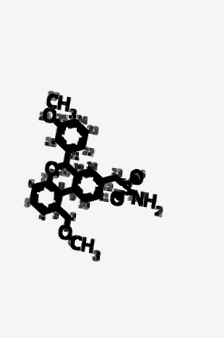 COCc1cccc2c1-c1ccc(CS(N)(=O)=O)cc1C(c1cccc(OC)c1)O2